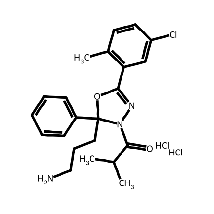 Cc1ccc(Cl)cc1C1=NN(C(=O)C(C)C)C(CCCN)(c2ccccc2)O1.Cl.Cl